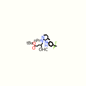 C=C1CC=CN=C(N(CCC)CC(CC=O)CCC(=O)OC(C)(C)C)C1Nc1ccc(C(C)(F)F)cc1